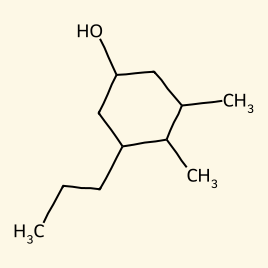 CCCC1CC(O)CC(C)C1C